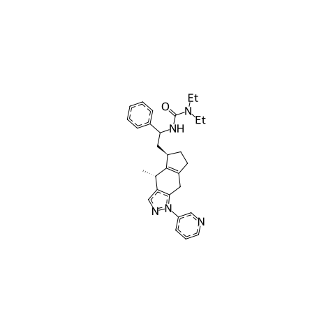 CCN(CC)C(=O)NC(C[C@H]1CCC2=C1[C@@H](C)c1cnn(-c3cccnc3)c1C2)c1ccccc1